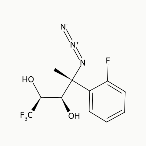 C[C@@](N=[N+]=[N-])(c1ccccc1F)[C@@H](O)[C@H](O)C(F)(F)F